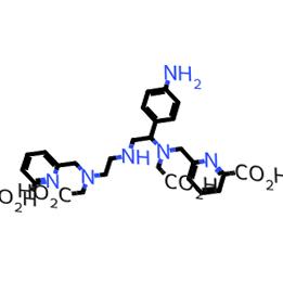 Nc1ccc(C(CNCCN(CC(=O)O)Cc2cccc(C(=O)O)n2)N(CC(=O)O)Cc2cccc(C(=O)O)n2)cc1